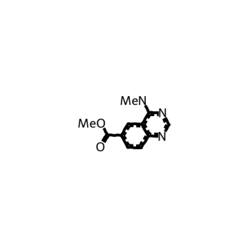 CNc1ncnc2ccc(C(=O)OC)cc12